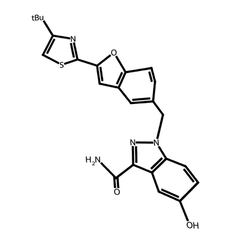 CC(C)(C)c1csc(-c2cc3cc(Cn4nc(C(N)=O)c5cc(O)ccc54)ccc3o2)n1